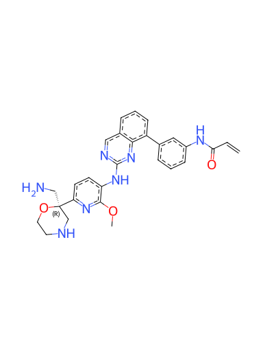 C=CC(=O)Nc1cccc(-c2cccc3cnc(Nc4ccc([C@@]5(CN)CNCCO5)nc4OC)nc23)c1